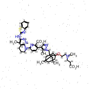 Cc1c(Nc2nc3ccccc3s2)nnc2c1CCCN2c1ccc(-c2cnn(CC34CC5(C)CC(C)(C3)CC(OCCN(C)CCC(=O)O)(C5)C4)c2C)c(C(=O)O)n1